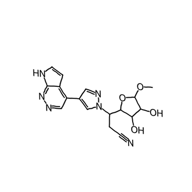 COC1OC(C(CC#N)n2cc(-c3cnnc4[nH]ccc34)cn2)C(O)C1O